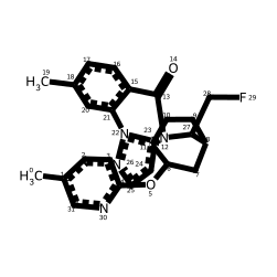 Cc1ccc(OC2CC3CCC2N(C(=O)c2ccc(C)cc2-n2nccn2)C3CF)nc1